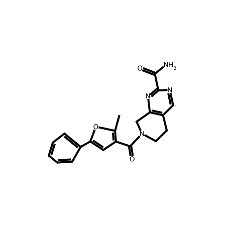 Cc1oc(-c2ccccc2)cc1C(=O)N1CCc2[c]nc(C(N)=O)nc2C1